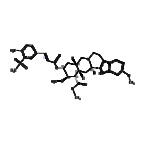 COC(=O)[C@H]1[C@H]2C[C@@H]3c4[nH]c5cc(OC)ccc5c4CCN3C[C@H]2C[C@@H](OC(=O)/C=C/c2ccc(C)c(S(C)(=O)=O)c2)[C@@H]1OC